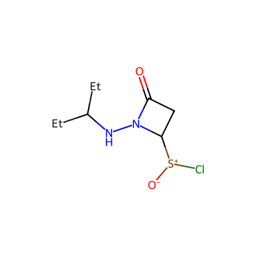 CCC(CC)NN1C(=O)CC1[S+]([O-])Cl